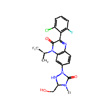 CCN1C(=O)N(c2ccc3nc(-c4c(F)cccc4Cl)c(=O)n([C@@H](C)C(F)(F)F)c3c2)NC1CO